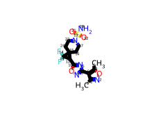 Cc1noc(C)c1-c1noc(C2C(F)(F)C23CCN(S(N)(=O)=O)CC3)n1